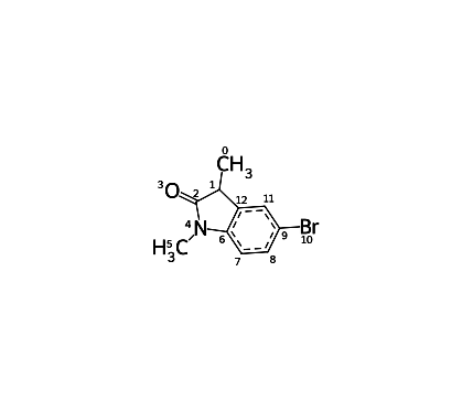 CC1C(=O)N(C)c2ccc(Br)cc21